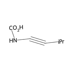 CC(C)C#CNC(=O)O